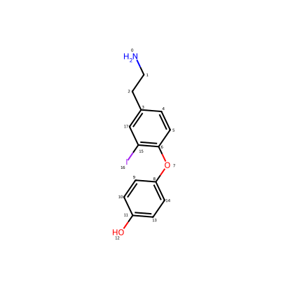 NCCc1ccc(Oc2ccc(O)cc2)c(I)c1